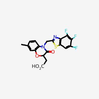 Cc1ccc2c(c1)OC(CC(=O)O)C(=O)N2Cc1nc2c(F)c(F)c(F)cc2s1